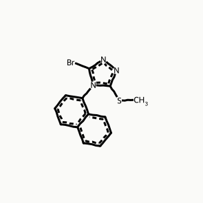 CSc1nnc(Br)n1-c1cccc2ccccc12